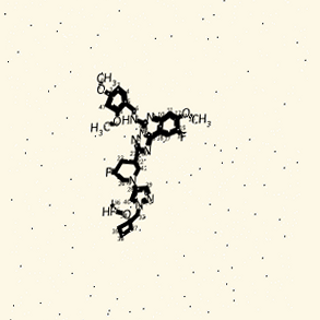 COc1ccc(CNc2nc3cc(OC)c(F)cc3c3nc(C4CC(F)CN(c5cnn(CC6(OPI)CCC6)c5)C4)nn23)c(OC)c1